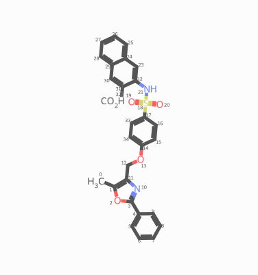 Cc1oc(-c2ccccc2)nc1COc1ccc(S(=O)(=O)Nc2cc3ccccc3cc2C(=O)O)cc1